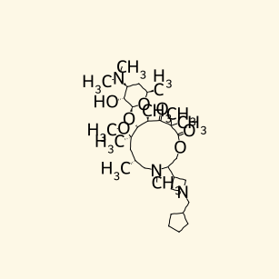 CO[C@]1(C)C[C@@H](C)CN(C)C(C2CN(CC3CCCC3)C2)COC(=O)C(C)(C)C(=O)[C@H](C)[C@H]1O[C@@H]1O[C@H](C)C[C@H](N(C)C)[C@H]1O